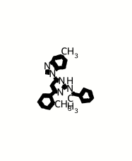 Cc1ccc2c(c1)ncn2-c1cc(-c2ccccc2C)nc(N[C@@H](C)c2ccccc2)n1